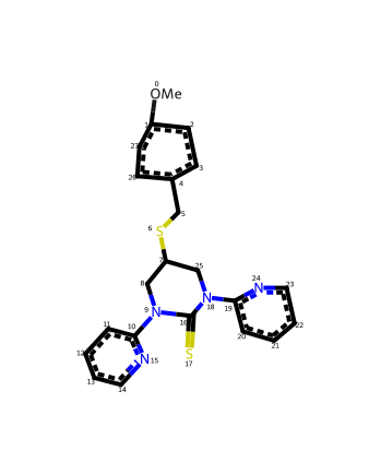 COc1ccc(CSC2CN(c3ccccn3)C(=S)N(c3ccccn3)C2)cc1